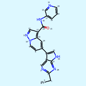 CC(C)Cc1ncc2c(-c3ccn4ncc(C(=O)Nc5cccnc5)c4c3)c[nH]c2n1